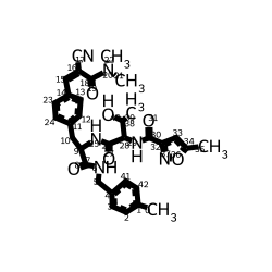 Cc1ccc(CNC(=O)C(Cc2ccc(C=C(C#N)C(=O)N(C)C)cc2)NC(=O)C(NC(=O)c2cc(C)on2)C(C)O)cc1